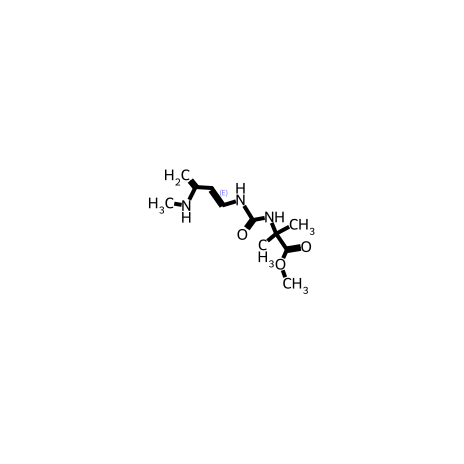 C=C(/C=C/NC(=O)NC(C)(C)C(=O)OC)NC